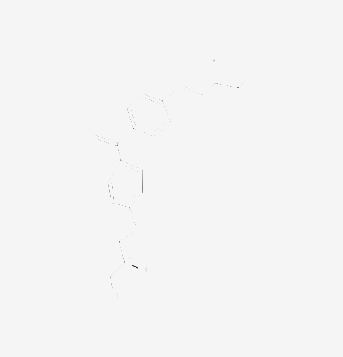 C=C(c1ccc(OC[C@H](O)CF)cc1)c1ccc(OC[C@@H](O)CCl)cc1